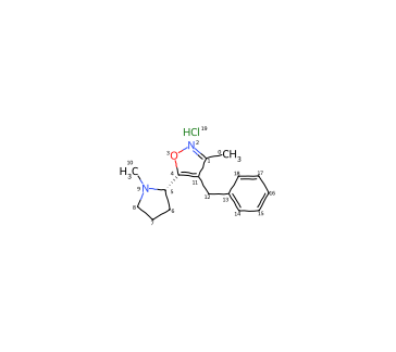 Cc1noc([C@@H]2CCCN2C)c1Cc1ccccc1.Cl